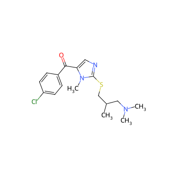 CC(CSc1ncc(C(=O)c2ccc(Cl)cc2)n1C)CN(C)C